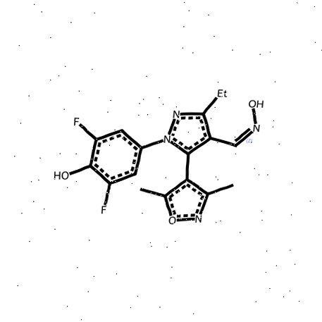 CCc1nn(-c2cc(F)c(O)c(F)c2)c(-c2c(C)noc2C)c1/C=N\O